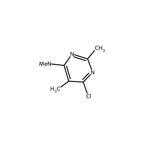 CNc1nc(C)nc(Cl)c1C